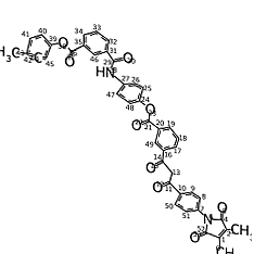 CC1=C(C)C(=O)N(c2ccc(C(=O)CC(=O)c3cccc(C(=O)Oc4ccc(NC(=O)c5cccc(C(=O)Oc6ccc(C)cc6)c5)cc4)c3)cc2)C1=O